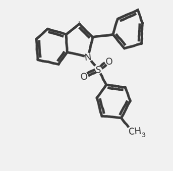 Cc1ccc(S(=O)(=O)n2c(-c3ccccc3)[c]c3ccccc32)cc1